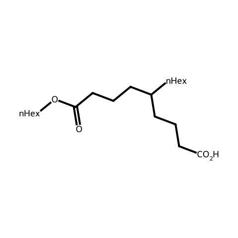 CCCCCCOC(=O)CCCC(CCCCCC)CCCC(=O)O